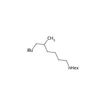 [CH2]CC(C)CC(C)CCCCCCCCCC